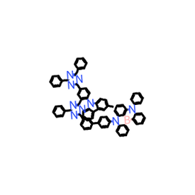 Cc1ccc2c(c1)c1ccccc1n2-c1ccc(-c2nc(-c3ccccc3)nc(-c3ccccc3)n2)cc1-c1nc(-c2ccccc2)nc(-c2cccc(-c3ccc(N4c5ccccc5B5c6ccccc6N(c6ccccc6)c6cccc4c65)cc3)c2)n1